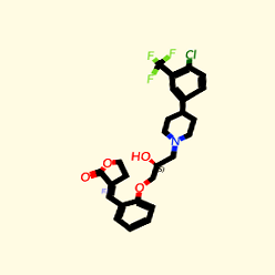 O=C1OCC/C1=C\c1ccccc1OC[C@@H](O)CN1CCC(c2ccc(Cl)c(C(F)(F)F)c2)CC1